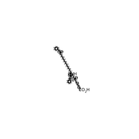 O=C(O)COCCOCCNC(=O)CC[C@H](NC(=O)CCCCCCCCCCCCCCCCC(=O)OCc1ccccc1)C(=O)OCc1ccccc1